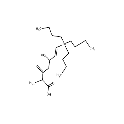 CCC[CH2][Sn]([CH]=CC(O)CC(=O)C(C)C(=O)O)([CH2]CCC)[CH2]CCC